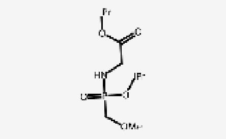 COCP(=O)(NCC(=O)OC(C)C)OC(C)C